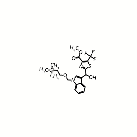 COC(=O)c1nc(C(O)c2cn(COCC[Si](C)(C)C)c3ccccc23)sc1C(F)(F)F